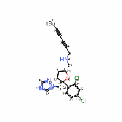 CC(C)(C)C#CC#CCNC[C@H]1CC[C@](Cn2cncn2)(c2ccc(Cl)cc2Cl)O1